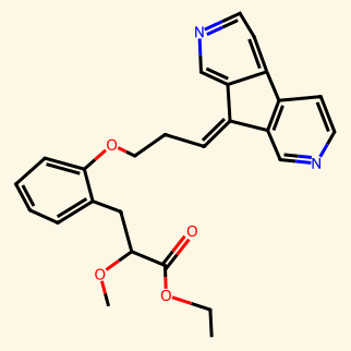 CCOC(=O)C(Cc1ccccc1OCCC=C1c2cnccc2-c2ccncc21)OC